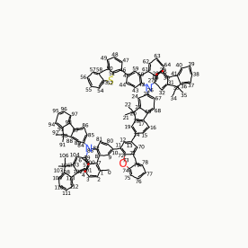 Cc1cccc(C)c1-c1cc(-c2cc(-c3ccc4c(c3)C(C)(C)c3cc(N(c5ccc6c(c5)C(C)(C)c5ccccc5-6)c5ccc(-c6cccc7c6sc6ccccc67)cc5-c5ccccc5)ccc3-4)cc3c2oc2ccccc23)ccc1N(c1ccc2c(c1)C(C)(C)c1ccccc1-2)c1ccc2c(c1)C(C)(C)c1ccccc1-2